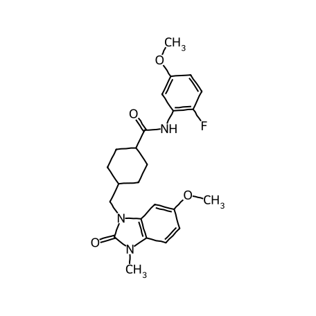 COc1ccc(F)c(NC(=O)C2CCC(Cn3c(=O)n(C)c4ccc(OC)cc43)CC2)c1